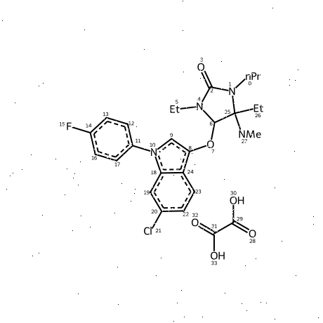 CCCN1C(=O)N(CC)C(Oc2cn(-c3ccc(F)cc3)c3cc(Cl)ccc23)C1(CC)NC.O=C(O)C(=O)O